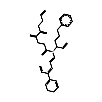 C=CCCC(=C)C(=C)CCC(=C)N(/C=C/C=C(\C=C)C1=CCCC=C1)C(C=C)CCCc1ccccc1